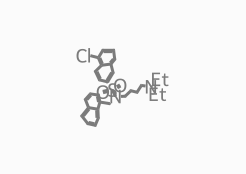 CCN(CC)CCCCN(Cc1cccc2ccccc12)S(=O)(=O)c1ccc2c(Cl)cccc2c1